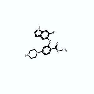 COC(=O)c1ccc(N2CCNCC2)cc1Oc1cc2cc[nH]c2cc1F